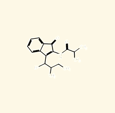 CCC(C)C(Br)C1=C(NC(=O)C(C)C)C(=O)c2ccccc21